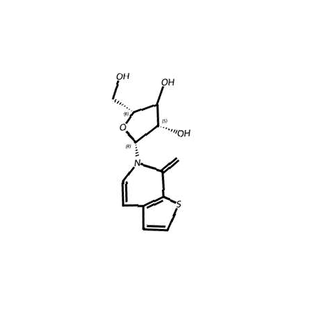 C=C1c2sccc2C=CN1[C@@H]1O[C@H](CO)C(O)[C@@H]1O